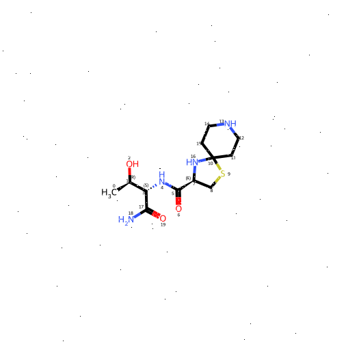 C[C@@H](O)[C@H](NC(=O)[C@@H]1CSC2(CCNCC2)N1)C(N)=O